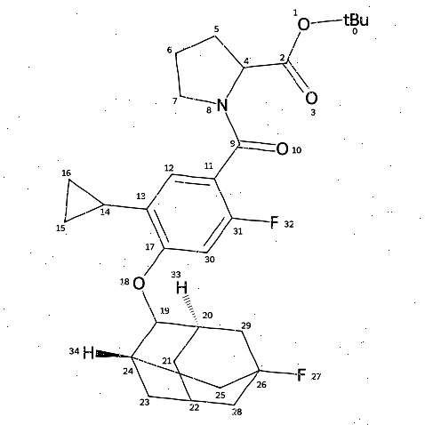 CC(C)(C)OC(=O)C1CCCN1C(=O)c1cc(C2CC2)c(OC2[C@@H]3CC4C[C@H]2CC(F)(C4)C3)cc1F